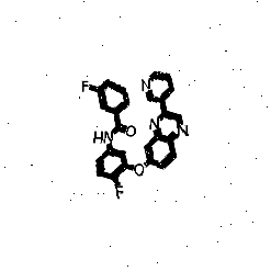 O=C(Nc1ccc(F)c(Oc2ccc3ncc(-c4cccnc4)nc3c2)c1)c1cccc(F)c1